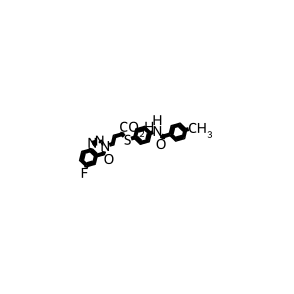 Cc1ccc(C(=O)Nc2ccc(SC(CCn3nnc4ccc(F)cc4c3=O)C(=O)O)cc2)cc1